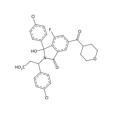 O=C(O)CC(c1ccc(Cl)cc1)N1C(=O)c2cc(C(=O)C3CCOCC3)cc(F)c2C1(O)c1ccc(Cl)cc1